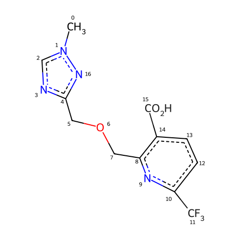 Cn1cnc(COCc2nc(C(F)(F)F)ccc2C(=O)O)n1